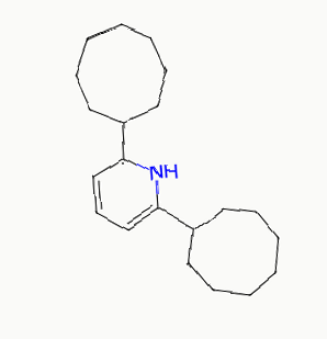 C1=C[C](C2CCCCCCC2)NC(C2CCCCCCC2)=C1